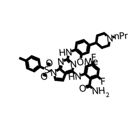 CCCN1CCC(c2ccc(Nc3nc(Nc4cc(F)cc(F)c4C(N)=O)c4ccn(S(=O)(=O)c5ccc(C)cc5)c4n3)c(OC)c2)CC1